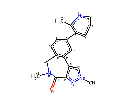 Cc1ncccc1-c1ccc2c(c1)-c1cn(C)nc1C(=O)N(C)C2